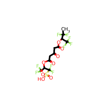 CC(F)(F)C(OC(=O)CC(=O)CC(=O)OC(C(F)(F)F)C(F)(F)S(=O)(=O)O)C(F)(F)F